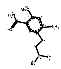 CCN(CC)CCc1cc(C(N)=O)c(OC)cc1N